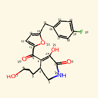 O=C1NCC(CCO)C(C(=O)c2ccc(Cc3ccc(F)cc3)o2)=C1O